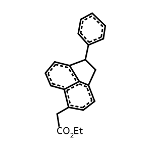 CCOC(=O)Cc1ccc2c3c(cccc13)C(c1ccccc1)C2